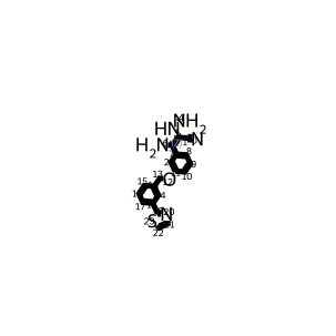 N#C/C(NN)=C(/N)c1cccc(OCc2cccc(-c3nccs3)c2)c1